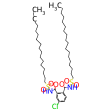 CCCCCCCCCCCCCCCCCCS(=O)(=O)NC(=O)c1ccc(Cl)cc1C(=O)NS(=O)(=O)CCCCCCCCCCCCCCCCCC